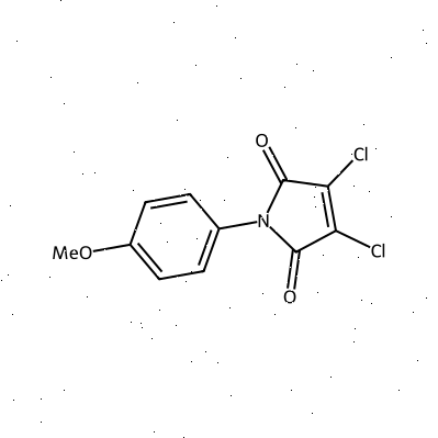 COc1ccc(N2C(=O)C(Cl)=C(Cl)C2=O)cc1